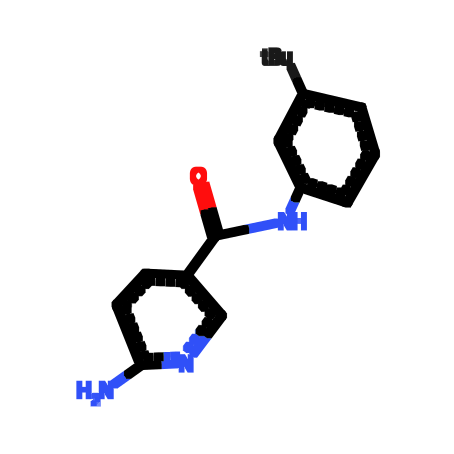 CC(C)(C)c1cccc(NC(=O)c2ccc(N)nc2)c1